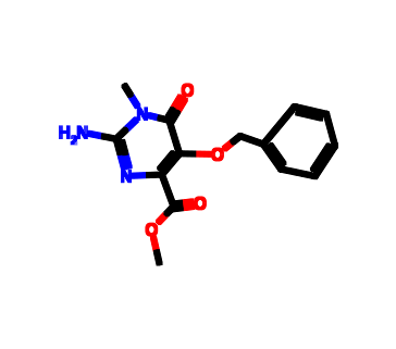 COC(=O)c1nc(N)n(C)c(=O)c1OCc1ccccc1